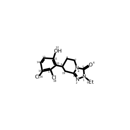 CCn1nc2n(c1=O)CCC(c1c(O)ccc(Cl)c1Cl)C2